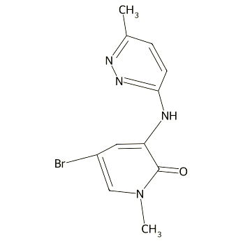 Cc1ccc(Nc2cc(Br)cn(C)c2=O)nn1